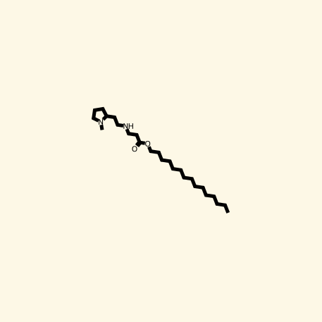 CCCCCCCCCCCCCCCOC(=O)CCNCCC1CCCN1C